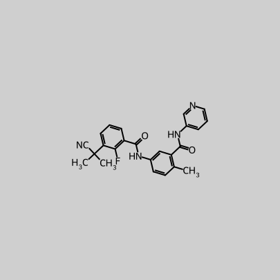 Cc1ccc(NC(=O)c2cccc(C(C)(C)C#N)c2F)cc1C(=O)Nc1cccnc1